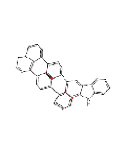 c1cncc(-c2ccc(-c3cccc4cccc(-c5ccc(-c6ccc7[nH]c8ccccc8c7c6)cc5)c34)cc2)c1